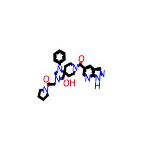 O=C(CN1CN(c2ccccc2)C2(CCN(C(=O)c3cnc4[nH]ncc4c3)CC2)C1O)N1CCCC1